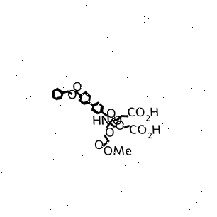 COC(=O)CCOCC(COCCC(=O)O)(COCCC(=O)O)NC(=O)c1ccc(-c2ccc(C(=O)OCc3ccccc3)cc2)cc1